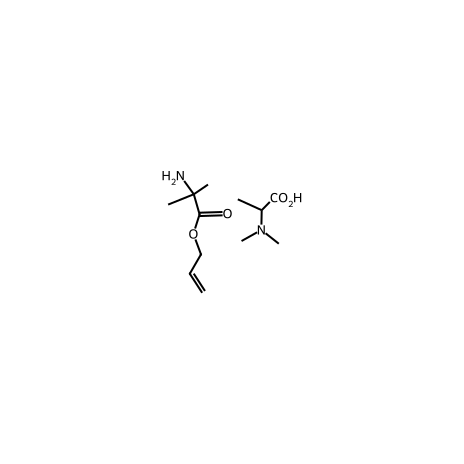 C=CCOC(=O)C(C)(C)N.CC(C(=O)O)N(C)C